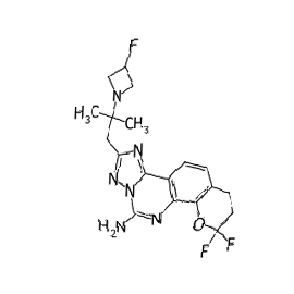 CC(C)(Cc1nc2c3ccc4c(c3nc(N)n2n1)OC(F)(F)CC4)N1CC(F)C1